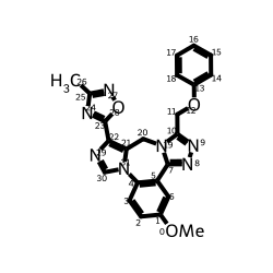 COc1ccc2c(c1)-c1nnc(COc3ccccc3)n1Cc1c(-c3nc(C)no3)ncn1-2